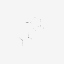 C=C(C)C(=O)O[N+]1(O)C(=O)CCC1=O